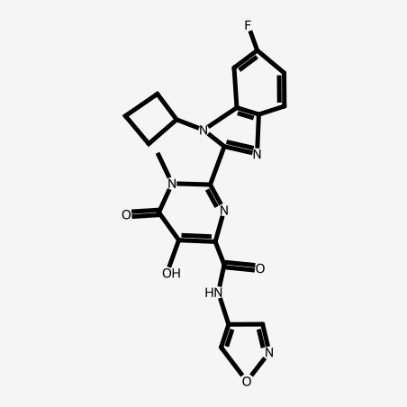 Cn1c(-c2nc3ccc(F)cc3n2C2CCC2)nc(C(=O)Nc2cnoc2)c(O)c1=O